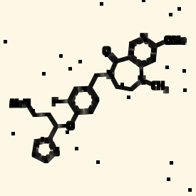 CNCCC(Oc1ccc(CN2CCN(C)c3cc(OC)ncc3C2=O)cc1F)c1cccs1